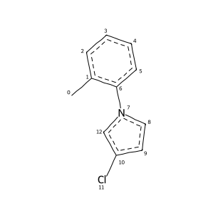 Cc1ccccc1-n1ccc(Cl)c1